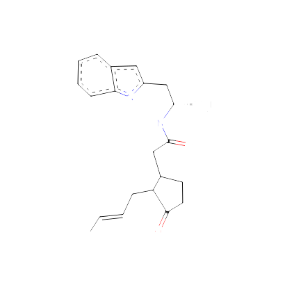 CC/C=C/CC1C(=O)CCC1CC(=O)N[C@H](Cc1cc2ccccc2[nH]1)C(=O)O